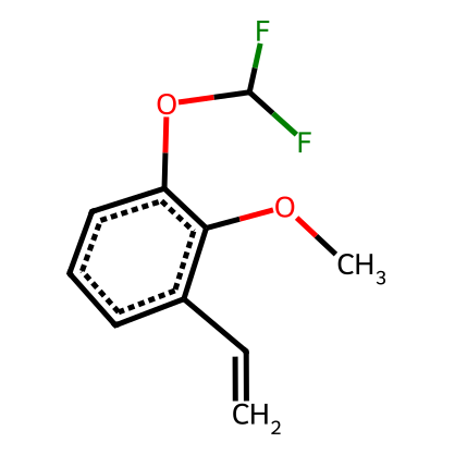 C=Cc1cccc(OC(F)F)c1OC